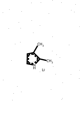 Cc1cc[nH]c1C.[Li]